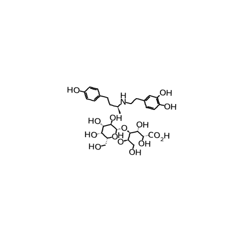 C[C@@H](CCc1ccc(O)cc1)NCCc1ccc(O)c(O)c1.O=C(O)[C@H](O)[C@@H](O)[C@H](O[C@@H]1O[C@H](CO)[C@H](O)[C@H](O)[C@H]1O)[C@H](O)CO